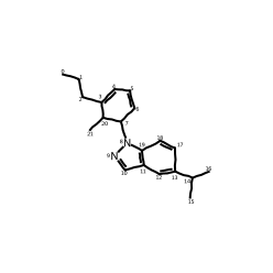 CCCC1=CC=CC(n2ncc3cc(C(C)C)ccc32)C1C